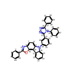 c1ccc(-c2nc3ccc4c(c5ccccc5n4-c4cccc(-c5nnc(-c6ccccc6)n5-c5ccccc5)c4)c3o2)cc1